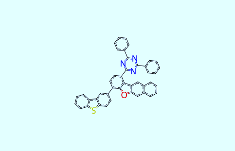 c1ccc(-c2nc(-c3ccccc3)nc(-c3ccc(-c4ccc5sc6ccccc6c5c4)c4oc5cc6ccccc6cc5c34)n2)cc1